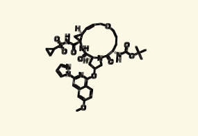 COc1ccc2c(OC3C[C@H]4C(=O)N[C@]5(C(=O)NS(=O)(=O)C6CC6)C[C@H]5/C=C\COCCC[C@H](NC(=O)OC(C)(C)C)C(=O)N4C3)nc(-n3cccn3)cc2c1